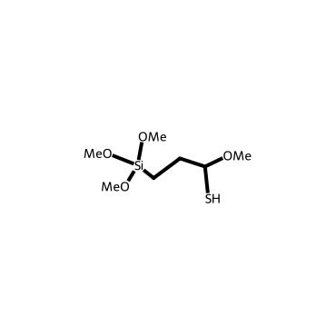 COC(S)CC[Si](OC)(OC)OC